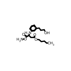 CCCCCOC(=O)CC(N)C(=O)ON.OCCCc1ccccc1